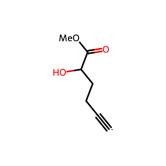 [C]#CCCC(O)C(=O)OC